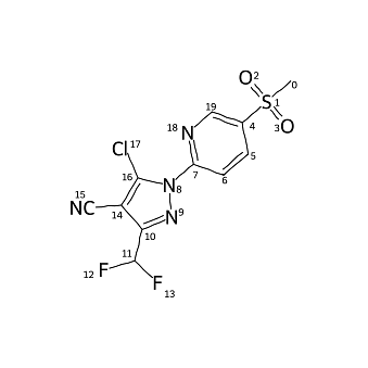 CS(=O)(=O)c1ccc(-n2nc(C(F)F)c(C#N)c2Cl)nc1